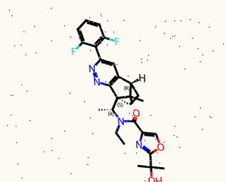 CCN(C(=O)c1coc(C(C)(C)O)n1)[C@H](C)[C@@]12CC[C@@H](c3cc(-c4c(F)cccc4F)nnc31)C2(C)C